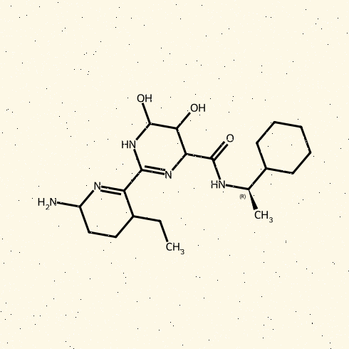 CCC1CCC(N)N=C1C1=NC(C(=O)N[C@H](C)C2CCCCC2)C(O)C(O)N1